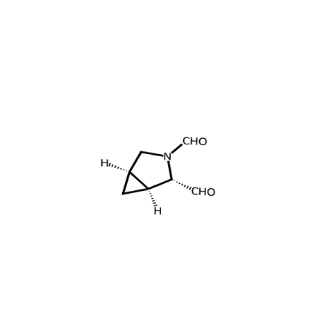 O=C[C@@H]1[C@H]2C[C@H]2CN1C=O